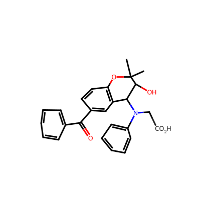 CC1(C)Oc2ccc(C(=O)c3ccccc3)cc2C(N(CC(=O)O)c2ccccc2)C1O